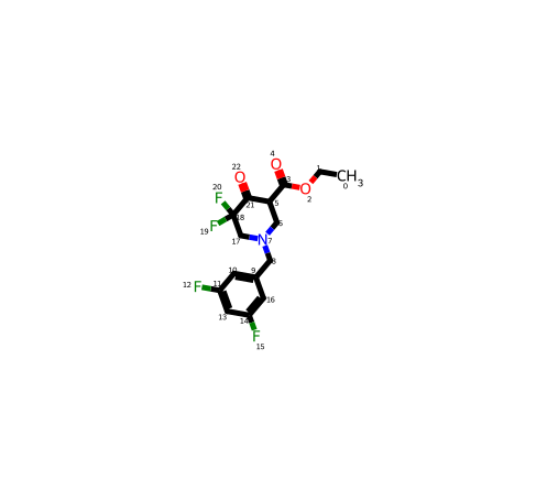 CCOC(=O)C1CN(Cc2cc(F)cc(F)c2)CC(F)(F)C1=O